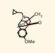 COc1ccc2c(c1)C13CCN(CC4CC4)C(C2)C1(O)CC(C)C(=O)C3